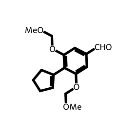 COCOc1cc(C=O)cc(OCOC)c1C1=CCCC1